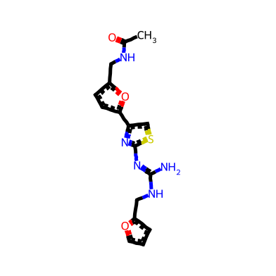 CC(=O)NCc1ccc(-c2csc(/N=C(\N)NCc3ccco3)n2)o1